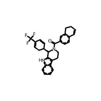 O=C(c1ccc2c(c1)CCC=C2)N1CCc2c([nH]c3ccccc23)C1C1C=CC(C(F)(F)F)=CC1